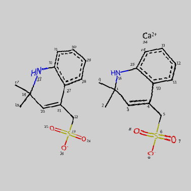 CC1(C)C=C(CS(=O)(=O)[O-])c2ccccc2N1.CC1(C)C=C(CS(=O)(=O)[O-])c2ccccc2N1.[Ca+2]